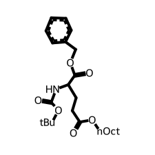 CCCCCCCCOC(=O)CCC(NC(=O)OC(C)(C)C)C(=O)OCc1ccccc1